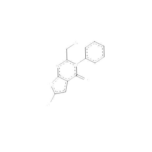 O=c1c2cc(Br)sc2nc(CBr)n1-c1ccccc1